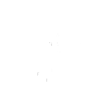 Cc1cc2ccn(S(=O)(=O)c3ccccc3)c2cc1C(F)(F)F